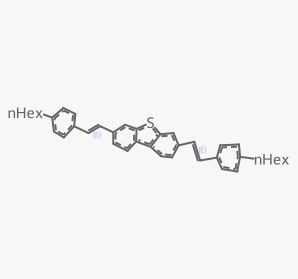 CCCCCCc1ccc(/C=C/c2ccc3c(c2)sc2cc(/C=C/c4ccc(CCCCCC)cc4)ccc23)cc1